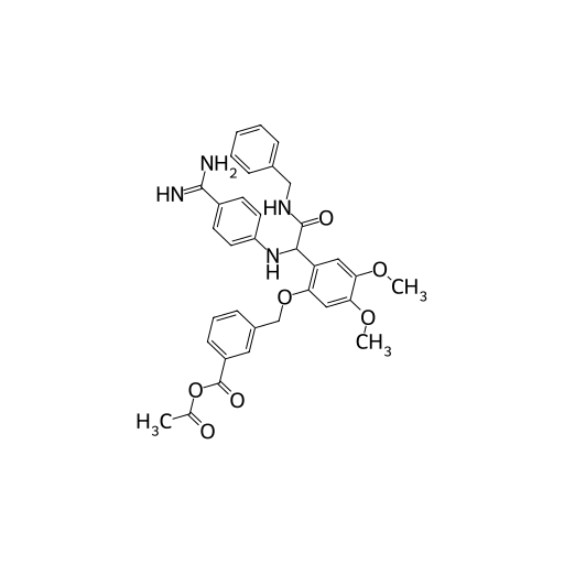 COc1cc(OCc2cccc(C(=O)OC(C)=O)c2)c(C(Nc2ccc(C(=N)N)cc2)C(=O)NCc2ccccc2)cc1OC